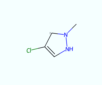 CN1[C]C(Cl)=CN1